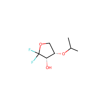 CC(C)O[C@H]1COC(F)(F)[C@H]1O